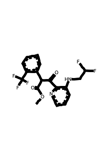 COC(=O)C(C(=O)c1ncccc1NCC(F)F)c1ccccc1C(F)(F)F